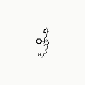 CCCCC1CSC(CCn2ccnc2)(c2ccccc2)S1